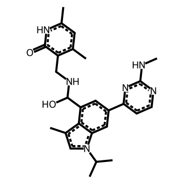 CNc1nccc(-c2cc(C(O)NCc3c(C)cc(C)[nH]c3=O)c3c(C)cn(C(C)C)c3c2)n1